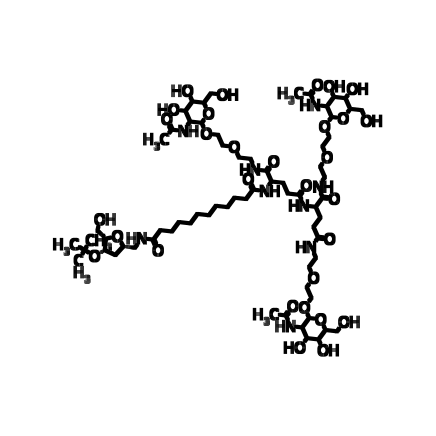 CC(=O)NC1C(OCCOCCNC(=O)CCC(NC(=O)CCC(NC(=O)CCCCCCCCCCC(=O)NC[C@H]2C[C@H](OC(C)(C)C)[C@@H](CO)O2)C(=O)NCCOCCOC2OC(CO)C(O)C(O)C2NC(C)=O)C(=O)NCCOCCOC2OC(CO)C(O)C(O)C2NC(C)=O)OC(CO)C(O)C1O